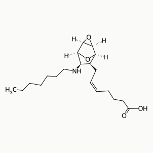 CCCCCCCN[C@@H]1[C@H](C/C=C\CCCC(=O)O)[C@H]2O[C@@H]1[C@H]1O[C@H]12